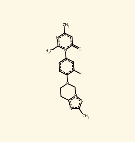 Cc1cc(=O)n(-c2ccc(N3CCc4nc(C)nn4C3)c(F)c2)c(C)n1